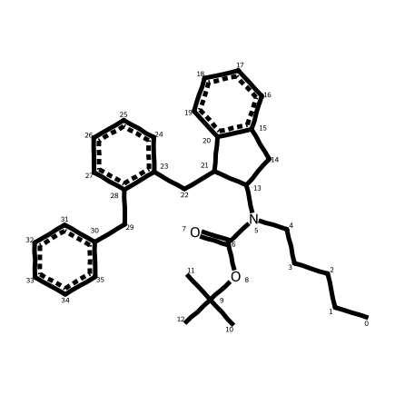 CCCCCN(C(=O)OC(C)(C)C)C1Cc2ccccc2C1Cc1ccccc1Cc1ccccc1